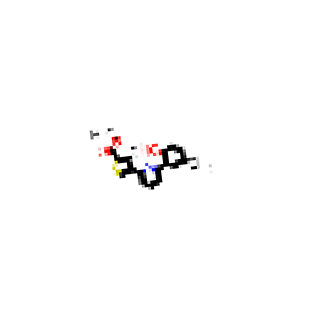 COC(=O)c1scc(-c2cccc(-c3cc(C)ccc3O)n2)c1C